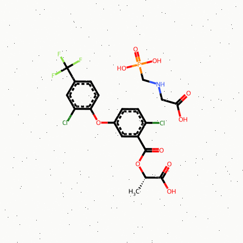 C[C@H](OC(=O)c1cc(Oc2ccc(C(F)(F)F)cc2Cl)ccc1Cl)C(=O)O.O=C(O)CNCP(=O)(O)O